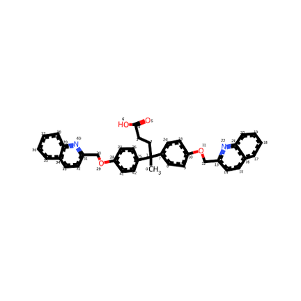 CC(CCC(=O)O)(c1ccc(OCc2ccc3ccccc3n2)cc1)c1ccc(OCc2ccc3ccccc3n2)cc1